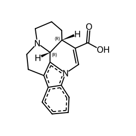 O=C(O)C1=Cn2c3c(c4ccccc42)CCN2CCC[C@H]1[C@H]32